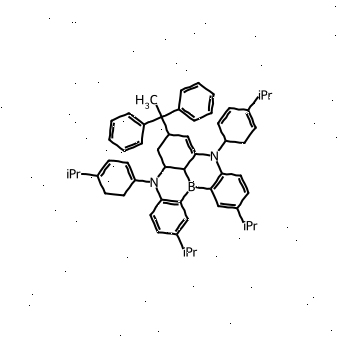 CC(C)C1=CCC(N2C3=CC(C(C)(c4ccccc4)c4ccccc4)CC4C3B(c3cc(C(C)C)ccc32)c2cc(C(C)C)ccc2N4C2=CC=C(C(C)C)CC2)C=C1